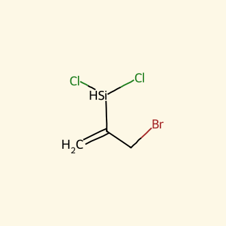 C=C(CBr)[SiH](Cl)Cl